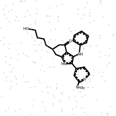 CC(=O)Nc1cc(-c2[nH]c3c(c2Nc2ccccc2)C(=O)CC(CCCCO)C3)ccn1